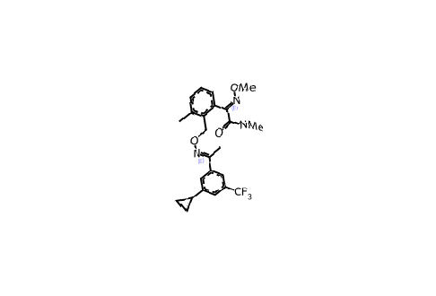 CNC(=O)/C(=N/OC)c1cccc(C)c1CO/N=C(\C)c1cc(C2CC2)cc(C(F)(F)F)c1